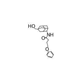 O=C(CCCOc1ccccc1)NC1C2CC3CC1CC(CO)(C3)C2